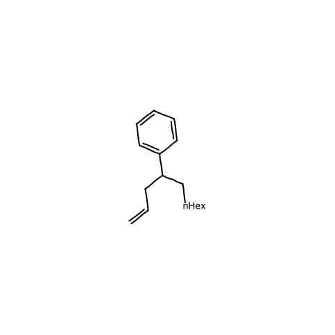 C=CCC(CCCCCCC)c1ccccc1